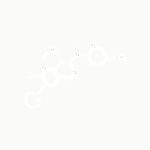 CCn1c(=O)c(C2=CCC=C2)cc2cnc(Nc3ccc(C)cn3)cc21